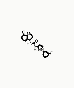 O=C(Nc1ccn(-c2cccc(F)c2)n1)N[C@H]1CCOc2c(Cl)cccc21